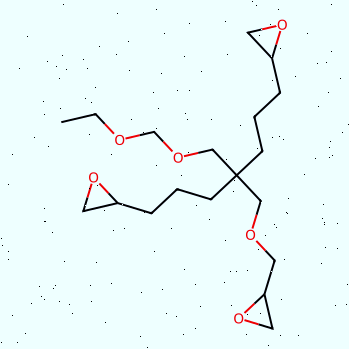 CCOCOCC(CCCC1CO1)(CCCC1CO1)COCC1CO1